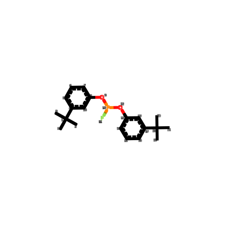 CC(C)(C)c1cccc(OP(F)Oc2cccc(C(C)(C)C)c2)c1